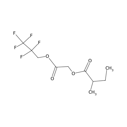 CCC(C)C(=O)OCC(=O)OCC(F)(F)C(F)(F)F